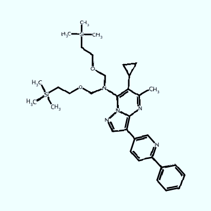 Cc1nc2c(-c3ccc(-c4ccccc4)nc3)cnn2c(N(COCC[Si](C)(C)C)COCC[Si](C)(C)C)c1C1CC1